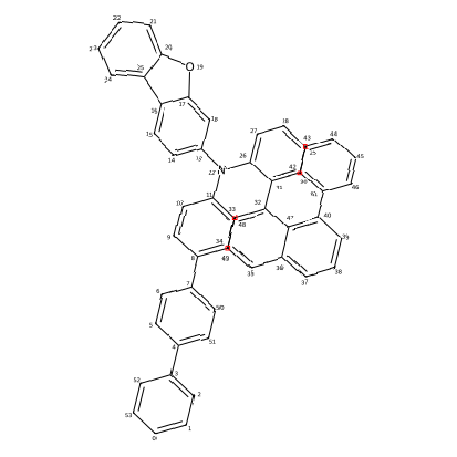 c1ccc(-c2ccc(-c3ccc(N(c4ccc5c(c4)oc4ccccc45)c4ccccc4-c4cccc5cccc(-c6ccccc6)c45)cc3)cc2)cc1